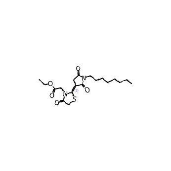 CCCCCCCCN1C(=O)C/C(=C2/SCC(=O)N2CC(=O)OCC)C1=O